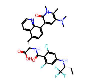 CC[C@@H](Nc1cc(F)c(C(=O)N[C@@H](Cc2ccc(-c3cc(N(C)C)c(C)n(C)c3=O)c3ncccc23)C(=O)O)c(F)c1)C(F)(F)F